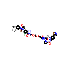 Cc1ncsc1-c1ccc(CNC(=O)[C@@H]2CCCN2C(=O)C(NC(=O)CCCOCCOCCNC(=O)c2ccc(N3C(=S)N(c4ccc(C#N)c(C(F)(F)F)c4)C(=O)C3(C)C)cc2F)C(C)(C)C)cc1